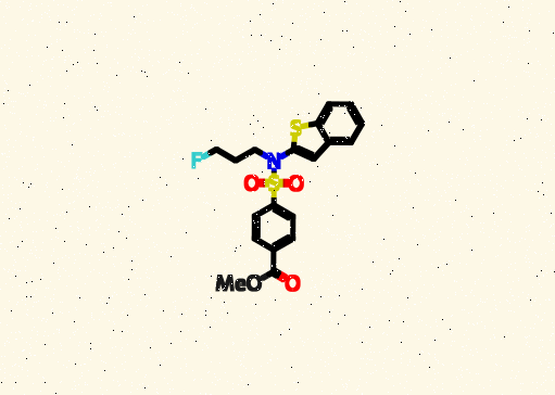 COC(=O)c1ccc(S(=O)(=O)N(CCCF)c2cc3ccccc3s2)cc1